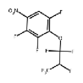 O=[N+]([O-])c1cc(F)c(OC(F)(F)C(F)C(F)(F)F)c(F)c1F